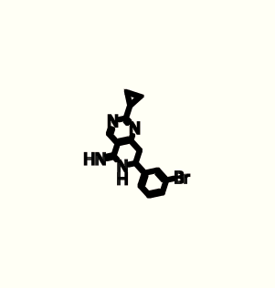 N=C1NC(c2cccc(Br)c2)Cc2nc(C3CC3)ncc21